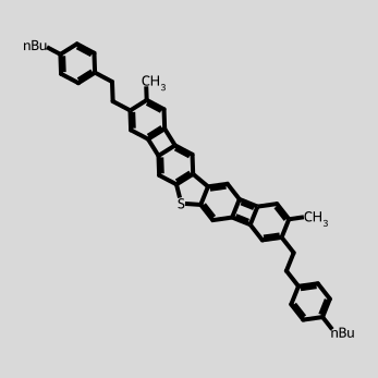 CCCCc1ccc(CCc2cc3c(cc2C)c2cc4c(cc32)sc2cc3c5cc(CCc6ccc(CCCC)cc6)c(C)cc5c3cc24)cc1